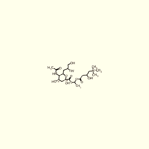 CC(=O)NC1C(CC(O)CO)O[C@@](O)(C(=O)OC(C)OC(=O)CC(O)C[N+](C)(C)C)C[C@H]1O